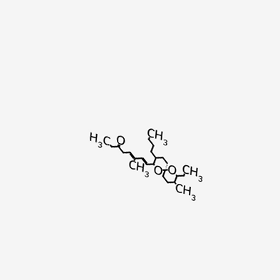 CCCCC1CC[C@]2(CCC(C)C(CC)O2)OC1/C=C/C(C)=C/CC(=O)CC